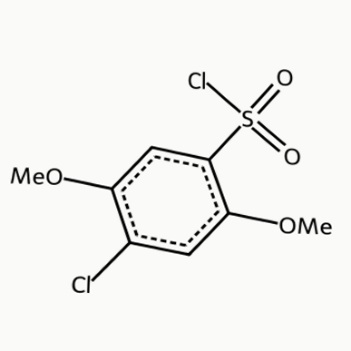 COc1cc(S(=O)(=O)Cl)c(OC)cc1Cl